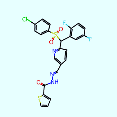 O=C(NN=Cc1ccc(C(c2cc(F)ccc2F)S(=O)(=O)c2ccc(Cl)cc2)nc1)c1cccs1